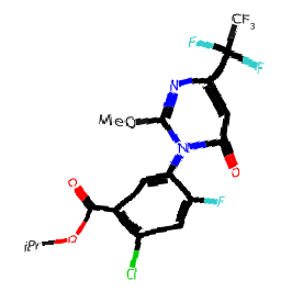 COc1nc(C(F)(F)C(F)(F)F)cc(=O)n1-c1cc(C(=O)OC(C)C)c(Cl)cc1F